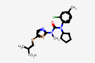 Cc1ccc(N(C(=O)N(C)c2ncc(SCC(C)C(=O)O)s2)C2CCCC2)c(Cl)c1